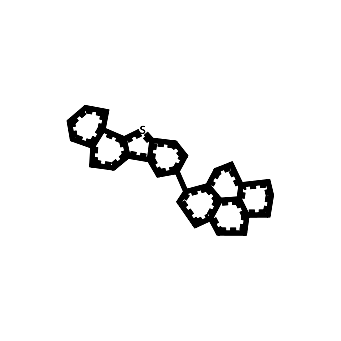 c1ccc2c(c1)ccc1c3cc(-c4ccc5ccc6cccc7ccc4c5c67)ccc3sc21